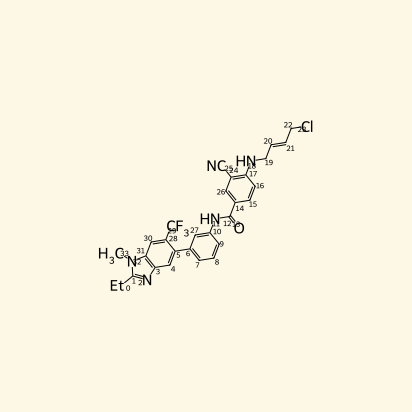 CCc1nc2cc(-c3cccc(NC(=O)c4ccc(NC/C=C/CCl)c(C#N)c4)c3)c(C(F)(F)F)cc2n1C